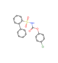 O=C(NS(=O)(=O)c1ccccc1-c1ccccc1)Oc1ccc(Cl)cc1